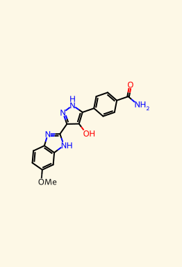 COc1ccc2nc(-c3n[nH]c(-c4ccc(C(N)=O)cc4)c3O)[nH]c2c1